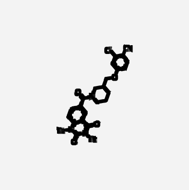 CCn1c(=O)c2cc(C(=O)N3CCCC(COc4ccc(C#N)c(Cl)c4)C3)ccc2n(CC)c1=O